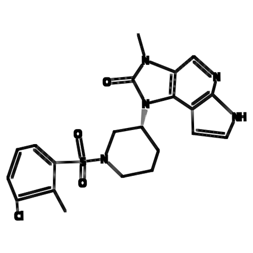 Cc1c(Cl)cccc1S(=O)(=O)N1CCC[C@@H](n2c(=O)n(C)c3cnc4[nH]ccc4c32)C1